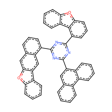 c1cc(-c2nc(-c3cc4ccccc4c4ccccc34)nc(-c3cccc4oc5ccccc5c34)n2)c2cc3c(cc2c1)oc1ccccc13